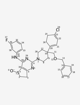 [O-][S+]1CCc2nc(N3CCC(COCc4ccccc4)(C4=CC=C(Cl)CC4)CC3)nc(Nc3cccc(F)c3)c21